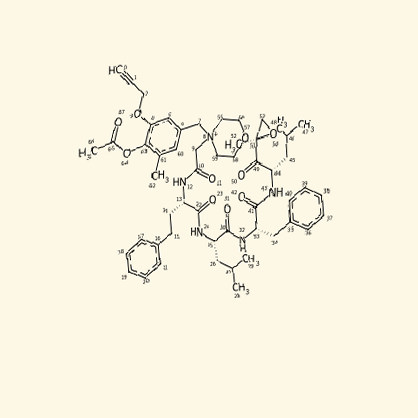 C#CCOc1cc(C[N+]2(CC(=O)N[C@@H](CCc3ccccc3)C(=O)N[C@@H](CC(C)C)C(=O)N[C@@H](Cc3ccccc3)C(=O)N[C@@H](CC(C)C)C(=O)[C@@]3(C)CO3)CCOCC2)cc(C)c1OC(C)=O